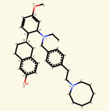 CCN(Cc1ccc(CCN2CCCCCCC2)cc1)C1C=C(OC)C=CC1[C@@H]1CCc2cc(O)ccc2C1